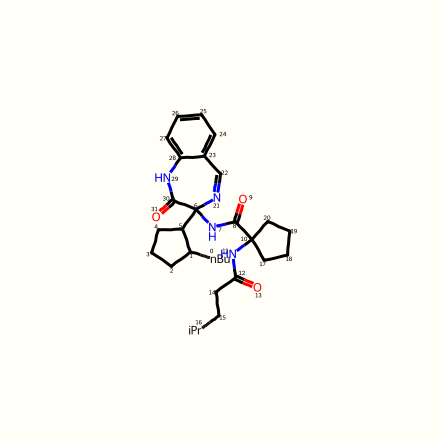 CCCCC1CCCC1C1(NC(=O)C2(NC(=O)CCC(C)C)CCCC2)N=Cc2ccccc2NC1=O